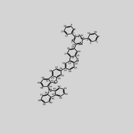 c1ccc(-c2nc(-c3ccccc3)nc(-c3ccc4c(c3)sc3ccc(-c5ccc6c(c5)oc5c(-n7c8ccccc8c8ccccc87)cccc56)cc34)n2)cc1